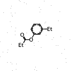 CCC(=O)Oc1cccc(CC)c1